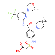 C[C@@H]1CN(c2cc(C(F)(F)F)cc(NC(=O)c3ccc(NS(=O)(=O)CC(=O)O)cc3N3CCC4(CC3)CC4)n2)CCO1